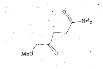 COCC(=O)CCC(N)=O